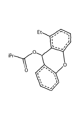 CCc1cccc2c1C(OC(=O)C(C)C)c1ccccc1O2